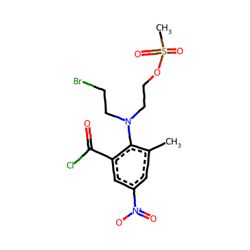 Cc1cc([N+](=O)[O-])cc(C(=O)Cl)c1N(CCBr)CCOS(C)(=O)=O